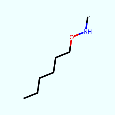 [CH2]NOCCCCCC